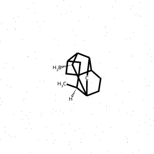 B[C@@H]1C2C3CC4(C3)C3CCC1(CC23)[C@H]4C